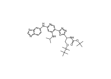 CC(C)Nc1cc(Nc2ccc3ncsc3c2)ncc1-c1nnc(C(CO[Si](C)(C)C(C)(C)C)NC(=O)OC(C)(C)C)o1